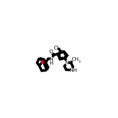 CC1CNCCN1c1ccc(Cl)c(C(=O)NCC23CC4CC(CC(C4)C2)C3)c1